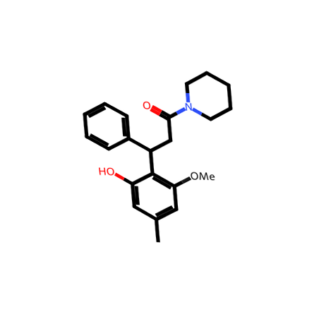 COc1cc(C)cc(O)c1C(CC(=O)N1CCCCC1)c1ccccc1